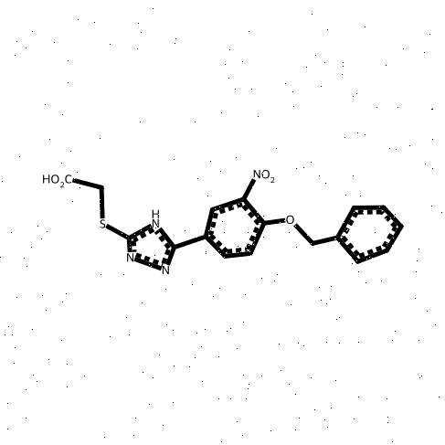 O=C(O)CSc1nnc(-c2ccc(OCc3ccccc3)c([N+](=O)[O-])c2)[nH]1